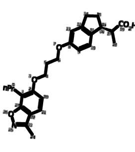 CCCc1c(OCCCOc2ccc3c(c2)CC[C@H]3C(C)C(=O)O)ccc2c(C)noc12